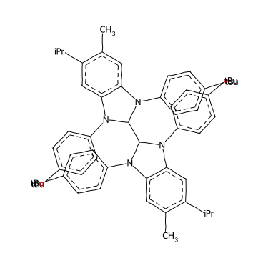 Cc1cc2c(cc1C(C)C)N(c1ccc(C(C)(C)C)cc1)C(C1N(c3ccc(C(C)(C)C)cc3)c3cc(C)c(C(C)C)cc3N1c1ccc(C(C)(C)C)cc1)N2c1ccc(C(C)(C)C)cc1